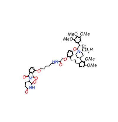 CC[C@H](C(=O)N1CCC(c2c(CCCc3ccccc3OCC(=O)NCCCCCCOc3cccc4c3C(=O)N(C3CCC(=O)NC3=O)C4=O)ccc(OC)c2OC)C[C@H]1C(=O)O)c1cc(OC)c(OC)c(OC)c1